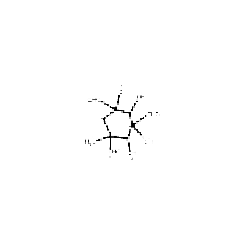 CC1(C=O)CC(C)(C=O)C(O)C(C)(C=O)C1O